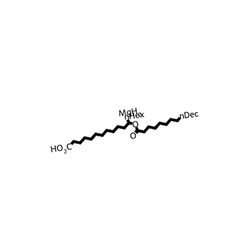 CCCCCCCCCCCCCCCCCC(=O)OC(CCCCCC)CCCCCCCCCCC(=O)O.[MgH2]